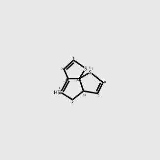 [C]1[SiH]=C2C=CSC23SC=CC13